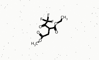 CCOC(=O)C(CC(=O)OC)C(=O)C(F)(F)F